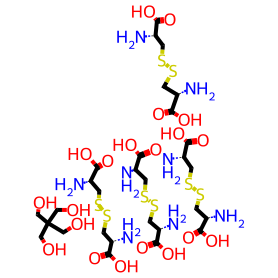 N[C@@H](CSSC[C@H](N)C(=O)O)C(=O)O.N[C@@H](CSSC[C@H](N)C(=O)O)C(=O)O.N[C@@H](CSSC[C@H](N)C(=O)O)C(=O)O.N[C@@H](CSSC[C@H](N)C(=O)O)C(=O)O.OCC(CO)(CO)CO